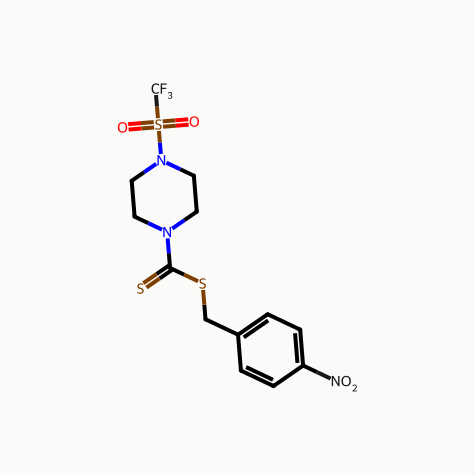 O=[N+]([O-])c1ccc(CSC(=S)N2CCN(S(=O)(=O)C(F)(F)F)CC2)cc1